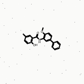 COc1ccc(-c2ccccc2)cc1NC(=O)c1cc(C)ccc1O